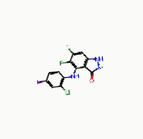 O=C1[N]Nc2cc(F)c(F)c(Nc3ccc(I)cc3Cl)c21